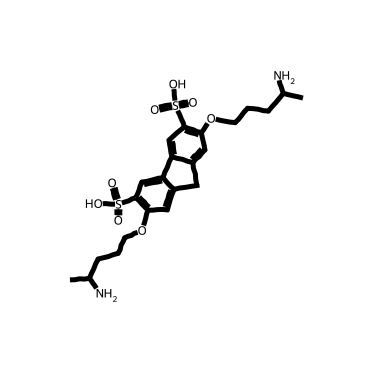 CC(N)CCCOc1cc2c(cc1S(=O)(=O)O)-c1cc(S(=O)(=O)O)c(OCCCC(C)N)cc1C2